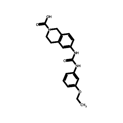 CCOc1cccc(NC(=O)Nc2ccc3c(c2)CCN(C(=O)O)C3)c1